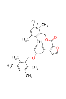 Cc1cc(C)c(C)c(COC(=O)c2occc2-c2cccc(OCc3c(C)c(C)cc(C)c3C)c2)c1C